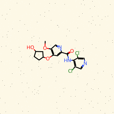 COc1cnc(C(=O)Nc2c(Cl)cncc2Cl)cc1OC1CCC(O)C1